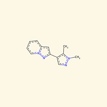 Cc1c(-c2cc3ccccn3n2)cnn1C